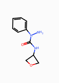 NN(C(=O)NC1COC1)c1ccccc1